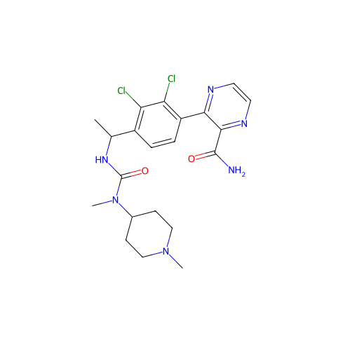 CC(NC(=O)N(C)C1CCN(C)CC1)c1ccc(-c2nccnc2C(N)=O)c(Cl)c1Cl